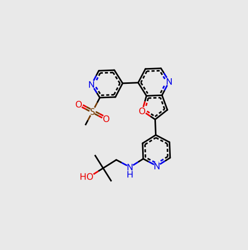 CC(C)(O)CNc1cc(-c2cc3nccc(-c4ccnc(S(C)(=O)=O)c4)c3o2)ccn1